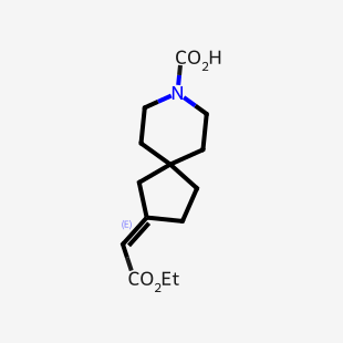 CCOC(=O)/C=C1\CCC2(CCN(C(=O)O)CC2)C1